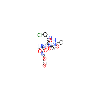 CCC[C@H](NC(=O)[C@@H]1C[C@]2(CC(c3cccc(Cl)c3)=NO2)CN1C(=O)[C@@H](NC(=O)CC1CCCCC1)C(C)(C)C)C(=O)C(=O)N1CC(OCC2CCOC2)C1